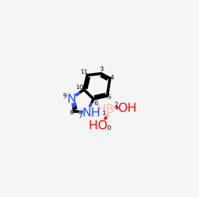 OBO.c1ccc2[nH]cnc2c1